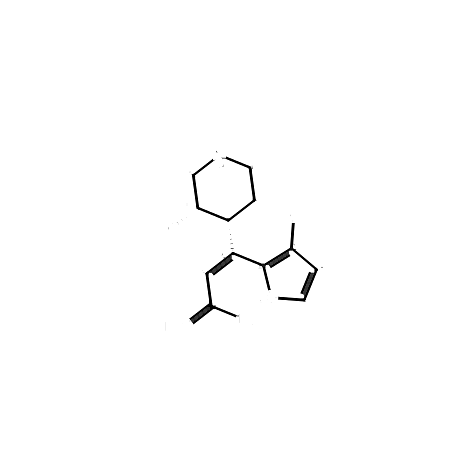 C=C(F)/C=C(\c1occc1C)[C@H]1CCNC[C@H]1C